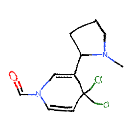 CN1CCCC1C1=CN(C=O)C=CC1(Cl)Cl